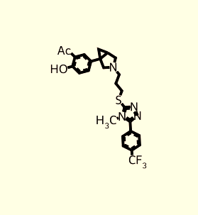 CC(=O)c1cc(C23CC2CN(CCCSc2nnc(-c4ccc(C(F)(F)F)cc4)n2C)C3)ccc1O